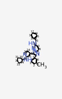 Cc1cccc(-c2nc3ccc(NCc4ccccc4)nn3c2-c2ccnc(NC3CCCCC3)c2)c1